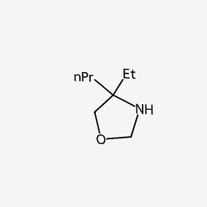 CCCC1(CC)COCN1